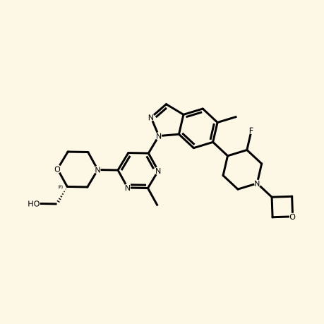 Cc1nc(N2CCO[C@@H](CO)C2)cc(-n2ncc3cc(C)c(C4CCN(C5COC5)CC4F)cc32)n1